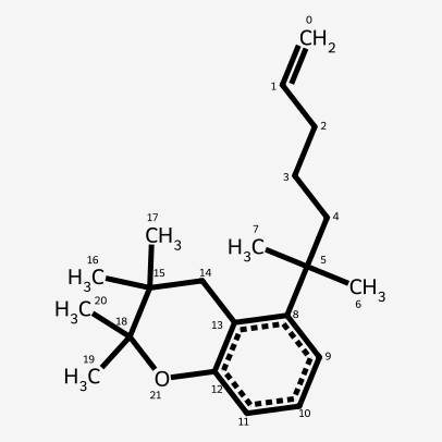 C=CCCCC(C)(C)c1cccc2c1CC(C)(C)C(C)(C)O2